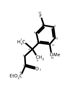 CCOC(=O)C(=O)CC(C)(C)c1cc(F)ccc1OC